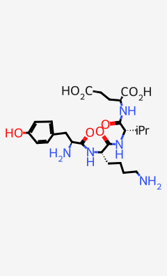 CC(C)[C@H](NC(=O)[C@H](CCCCN)NC(=O)[C@@H](N)Cc1ccc(O)cc1)C(=O)N[C@@H](CCC(=O)O)C(=O)O